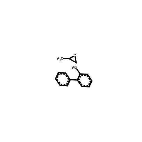 CC1CO1.Oc1ccccc1-c1ccccc1